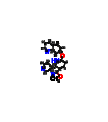 CN(C(=O)C1=CC=C(Oc2ccc3cccnc3c2)NC1)c1cccnc1